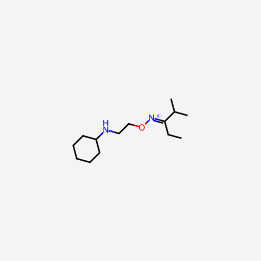 CC/C(=N\OCCNC1CCCCC1)C(C)C